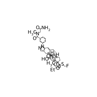 CCC(=O)O[C@]1(C(=O)SCF)CC[C@H]2[C@@H]3CCC4=Cc5c(cnn5-c5cccc(C(=O)N(C)CC(N)=O)c5)C[C@]4(C)[C@@]3(F)[C@@H](O)C[C@@]21C